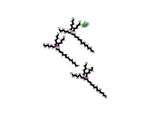 CCCCCCCCCCCCCC[P+](CCCCCC)(CCCCCC)CCCCCC.CCCCCCCCCCCCCC[P+](CCCCCC)(CCCCCC)CCCCCC.CCCCCCCCCCCCCC[P+](CCCCCC)(CCCCCC)CCCCCC.[Br-].[Br-].[Br-]